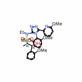 CCN(c1nnc(-c2cccc(OC)n2)n1-c1c(OC)cccc1OC)S(=O)(=O)[C@H](C)[C@@H](O)c1ccccc1OC